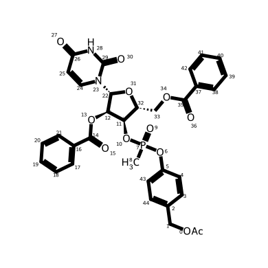 CC(=O)OCc1ccc(OP(C)(=O)O[C@H]2[C@@H](OC(=O)c3ccccc3)[C@H](n3ccc(=O)[nH]c3=O)O[C@@H]2COC(=O)c2ccccc2)cc1